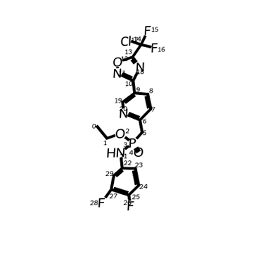 CCOP(=O)(Cc1ccc(-c2noc(C(F)(F)Cl)n2)cn1)Nc1ccc(F)c(F)c1